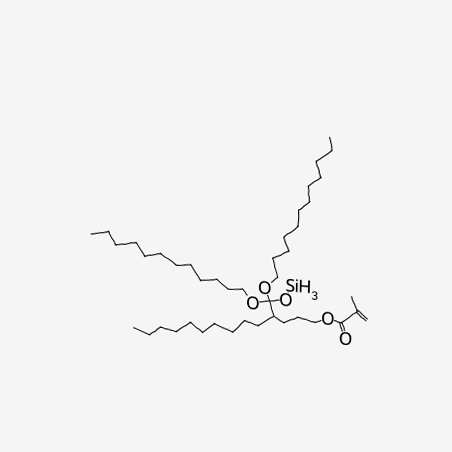 C=C(C)C(=O)OCCCC(CCCCCCCCCC)C(O[SiH3])(OCCCCCCCCCCCC)OCCCCCCCCCCCC